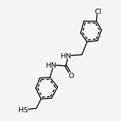 O=C(NCc1ccc(Cl)cc1)Nc1ccc(CS)cc1